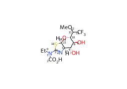 CCN(C(=O)O)C1=N[C@@H]2[C@@H](O)[C@H](O)[C@@H]([C@@H](OC)C(F)(F)F)O[C@@H]2S1